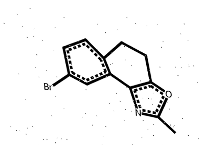 Cc1nc2c(o1)CCc1ccc(Br)cc1-2